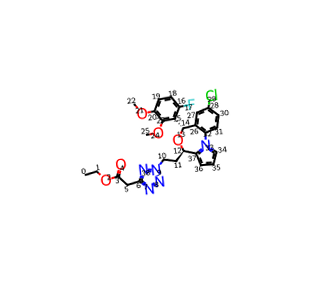 CCOC(=O)Cc1nnn(CC[C@H]2O[C@H](c3c(F)ccc(OC)c3OC)c3cc(Cl)ccc3-n3cccc32)n1